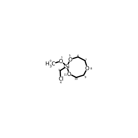 CO[Si]1(CCl)OCCOCCO1